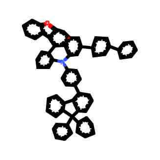 c1ccc(-c2ccc(-c3cccc(N(c4ccc(-c5cccc6c5-c5ccccc5C6(c5ccccc5)c5ccccc5)cc4)c4ccccc4-c4cccc5oc6ccccc6c45)c3)cc2)cc1